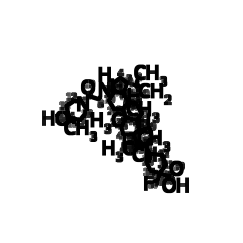 C=C(C)[C@@H]1CC[C@]2(NCC(=O)N3CCC(C)(O)CC3)CC[C@]3(C)[C@H](CC[C@@H]4[C@@]5(C)CC=C(C6=CCC(CF)(C(=O)O)CC6)C(C)(C)[C@@H]5CC[C@]43C)[C@@H]12